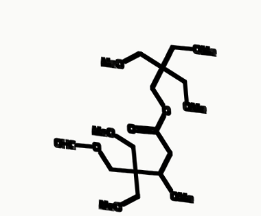 COCC(COC)(COC)COC(=O)CC(OC)C(COC)(COC)COC=O